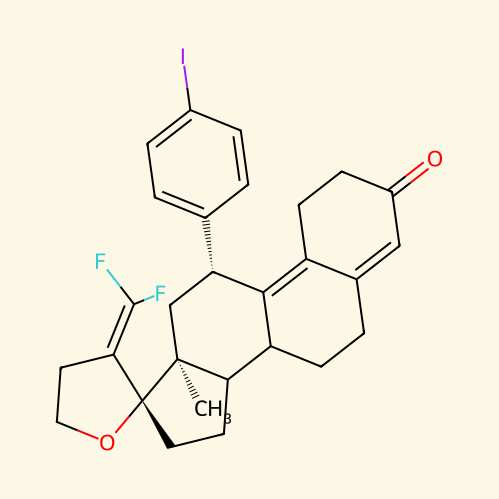 C[C@]12C[C@H](c3ccc(I)cc3)C3=C4CCC(=O)C=C4CCC3C1CC[C@]21OCCC1=C(F)F